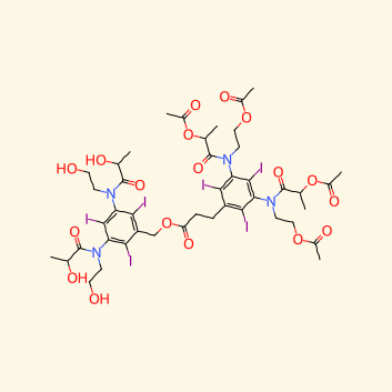 CC(=O)OCCN(C(=O)C(C)OC(C)=O)c1c(I)c(CCC(=O)OCc2c(I)c(N(CCO)C(=O)C(C)O)c(I)c(N(CCO)C(=O)C(C)O)c2I)c(I)c(N(CCOC(C)=O)C(=O)C(C)OC(C)=O)c1I